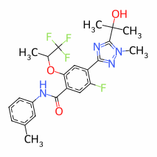 Cc1cccc(NC(=O)c2cc(F)c(-c3nc(C(C)(C)O)n(C)n3)cc2OC(C)C(F)(F)F)c1